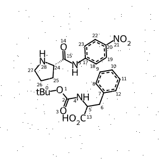 CC(C)(C)OC(=O)NC(Cc1ccccc1)C(=O)O.O=C(Nc1ccc([N+](=O)[O-])cc1)[C@@H]1CCCN1